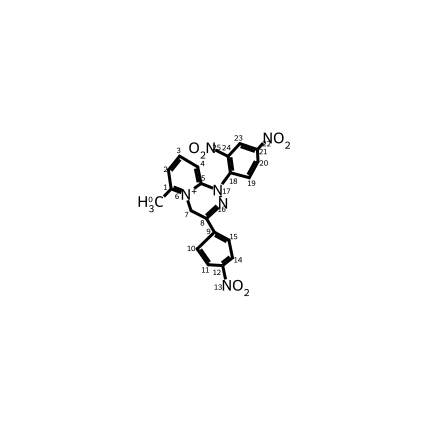 Cc1cccc2[n+]1CC(c1ccc([N+](=O)[O-])cc1)=NN2c1ccc([N+](=O)[O-])cc1[N+](=O)[O-]